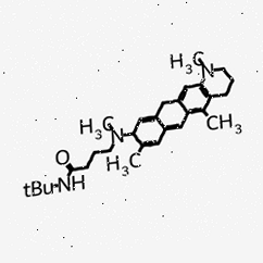 CC1=CC2=Cc3c(cc4c(c3C)CCCN4C)CC2=CC1N(C)CCCC(=O)NC(C)(C)C